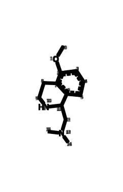 COc1cccc2c1CCNC2CN(C)C